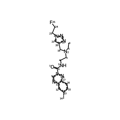 CCN(CCNC(=O)c1cnc2cc(I)ccc2n1)Cc1cn(CCF)nn1